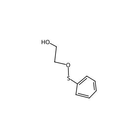 OCCOSc1ccccc1